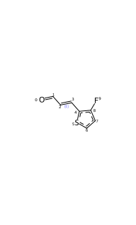 O=C/C=C/c1sccc1F